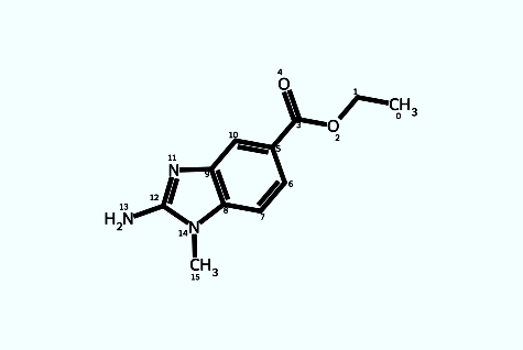 CCOC(=O)c1ccc2c(c1)nc(N)n2C